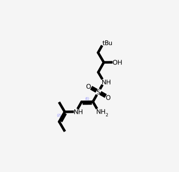 C/C=C(/C)N/C=C(\N)S(=O)(=O)NCC(O)CC(C)(C)C